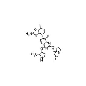 CC1NCCC1Oc1nc(OCC23CCCN2CC(F)C3)nc2c(F)c(-c3ccc(F)c4sc(N)nc34)ccc12